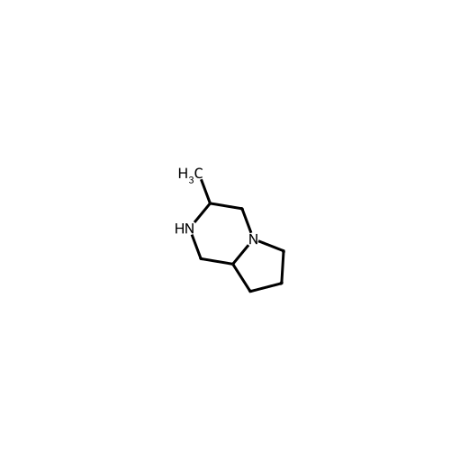 CC1CN2CCCC2CN1